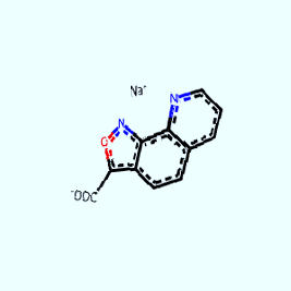 O=C([O-])c1onc2c1ccc1cccnc12.[Na+]